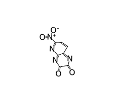 O=C1N=c2ccc([N+](=O)[O-])nc2=NC1=O